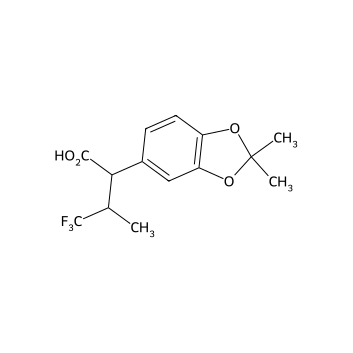 CC(C(C(=O)O)c1ccc2c(c1)OC(C)(C)O2)C(F)(F)F